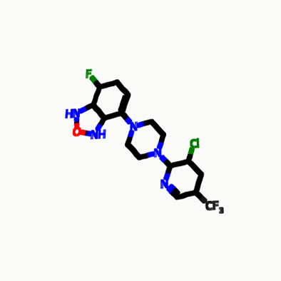 FC1CC=C(N2CCN(C3N=CC(C(F)(F)F)CC3Cl)CC2)C2NONC12